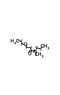 CCCOCCC(=O)N(C)CCC